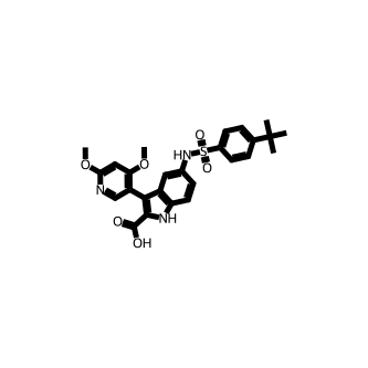 COc1cc(OC)c(-c2c(C(=O)O)[nH]c3ccc(NS(=O)(=O)c4ccc(C(C)(C)C)cc4)cc23)cn1